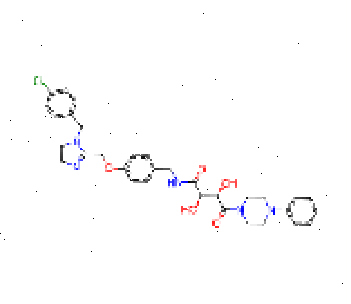 O=C(NCc1ccc(OCC2=NCCN2Cc2ccc(Cl)cc2)cc1)[C@H](O)[C@@H](O)C(=O)N1CCN(c2ccccc2)CC1